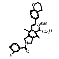 Cc1c(C=Cc2ccc3c(c2)CCCO3)c([C@H](OC(C)(C)C)C(=O)O)c(C)c2c1CN(C(=O)c1cccc(F)c1)C2